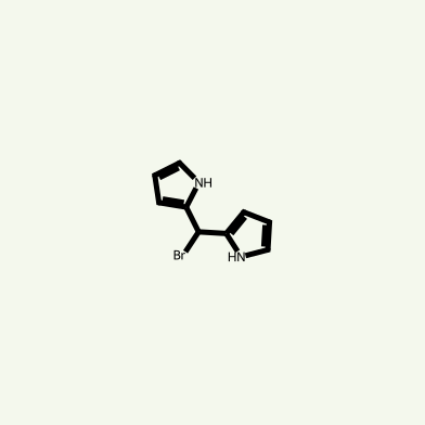 BrC(c1ccc[nH]1)c1ccc[nH]1